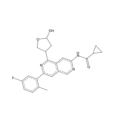 Cc1ccc(F)cc1-c1cc2cnc(NC(=O)C3CC3)cc2c(C2COC(O)C2)n1